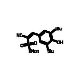 CCCCCCCCCS(=O)(=O)/C(C#N)=C\c1cc(C(C)(C)C)c(O)c(C(C)(C)C)c1